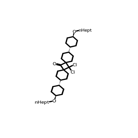 CCCCCCCO[C@H]1CC[C@H](C2CCC3(CC2)C(=O)C2(CCC([C@H]4CC[C@H](OCCCCCCC)CC4)CC2)C3(Cl)Cl)CC1